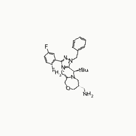 C=C1COC[C@@H](CN)CN1[C@@H](c1nc(-c2cc(F)ccc2F)nn1Cc1ccccc1)C(C)(C)C